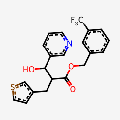 O=C(OCc1cccc(C(F)(F)F)c1)C(Cc1ccsc1)C(O)c1cccnc1